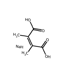 C/C(C(=O)O)=C(\C)C(=O)O.[NaH]